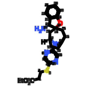 CCOC(=O)CCSc1cnc(N2C3CC[C@H]2C[C@]2(CC3)Oc3ccccc3[C@H]2N)cn1